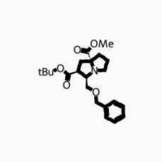 COC(=O)[C@]12CCCN1[C@@H](COCc1ccccc1)[C@@H](C(=O)OC(C)(C)C)C2